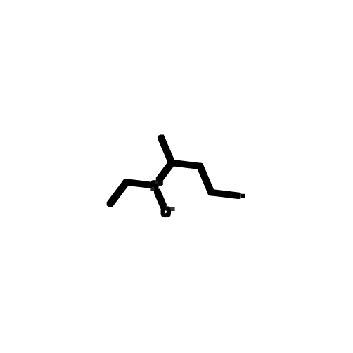 [CH2]CCC(C)[S+]([O-])CC